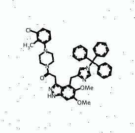 COc1cc2[nH]nc(CC(=O)N3CCN(c4cccc(Cl)c4C)CC3)c2c(Cc2cn(C(c3ccccc3)(c3ccccc3)c3ccccc3)cn2)c1OC